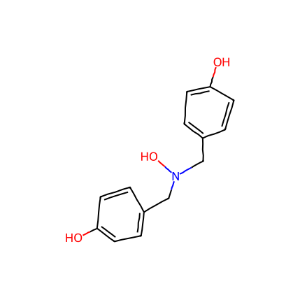 Oc1ccc(CN(O)Cc2ccc(O)cc2)cc1